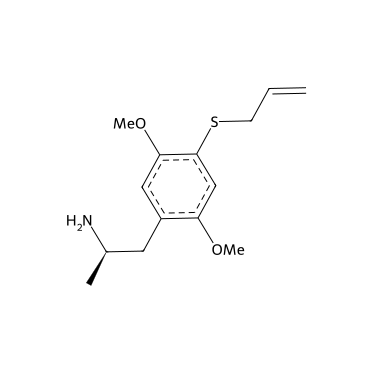 C=CCSc1cc(OC)c(C[C@@H](C)N)cc1OC